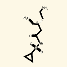 C=C[C@H](CCN)CC(=O)NS(=O)(=O)C1CC1